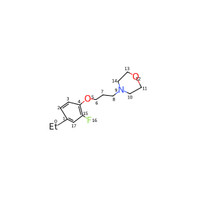 CCc1ccc(OCCCN2CCOCC2)c(F)c1